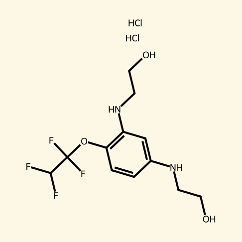 Cl.Cl.OCCNc1ccc(OC(F)(F)C(F)F)c(NCCO)c1